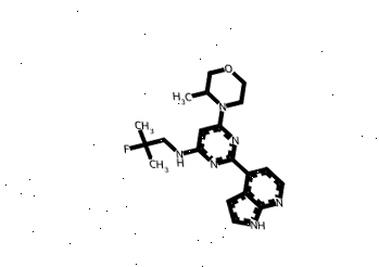 CC1COCCN1c1cc(NCC(C)(C)F)nc(-c2ccnc3[nH]ccc23)n1